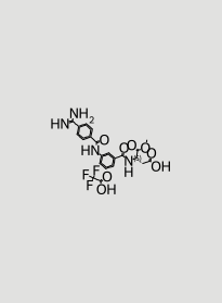 COC(=O)[C@H](CC(=O)O)NC(=O)c1cccc(NC(=O)c2ccc(C(=N)N)cc2)c1.O=C(O)C(F)(F)F